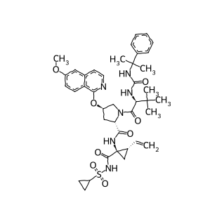 C=C[C@@H]1C[C@]1(NC(=O)[C@@H]1C[C@@H](Oc2nccc3cc(OC)ccc23)CN1C(=O)[C@@H](NC(=O)NC(C)(C)c1ccccc1)C(C)(C)C)C(=O)NS(=O)(=O)C1CC1